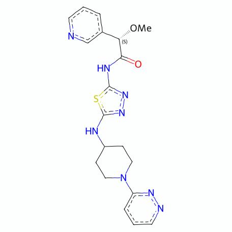 CO[C@H](C(=O)Nc1nnc(NC2CCN(c3cccnn3)CC2)s1)c1cccnc1